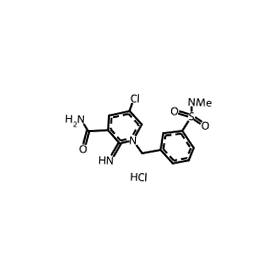 CNS(=O)(=O)c1cccc(Cn2cc(Cl)cc(C(N)=O)c2=N)c1.Cl